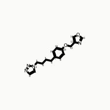 c1cn(CCCCc2ccc(OCc3cocn3)cc2)nn1